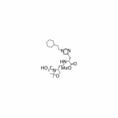 COC(=O)[C@H](Cc1cn(CCC2CCCCC2)cn1)NCC[C@H]1COC(C)(C)N1C(=O)O